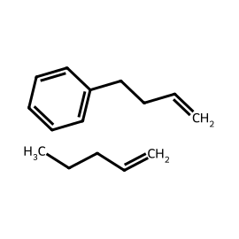 C=CCCC.C=CCCc1ccccc1